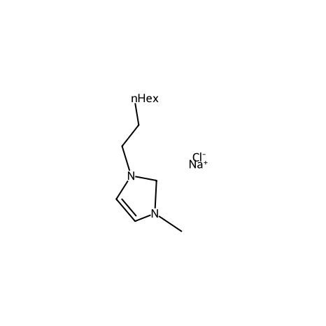 CCCCCCCCN1C=CN(C)C1.[Cl-].[Na+]